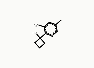 Cc1cnc(C2(O)CCC2)c(N)c1